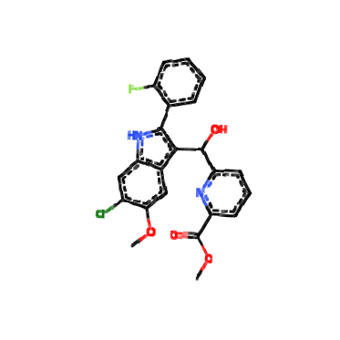 COC(=O)c1cccc(C(O)c2c(-c3ccccc3F)[nH]c3cc(Cl)c(OC)cc23)n1